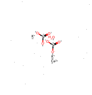 O.O=[Si]([O-])[O-].O=[Si]([O-])[O-].[Ca+2].[K+].[K+]